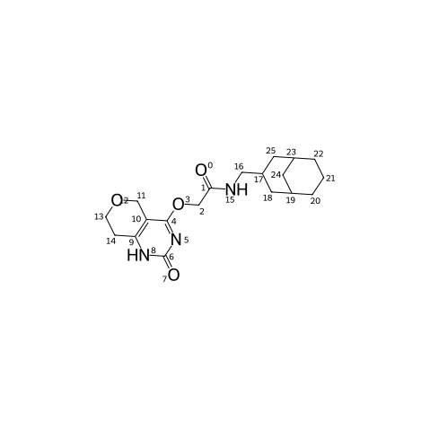 O=C(COc1nc(=O)[nH]c2c1COCC2)NCC1CC2CCCC(C2)C1